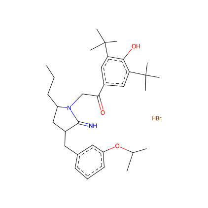 Br.CCCC1CC(Cc2cccc(OC(C)C)c2)C(=N)N1CC(=O)c1cc(C(C)(C)C)c(O)c(C(C)(C)C)c1